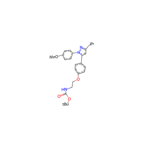 COc1ccc(-n2nc(C(C)C)cc2-c2ccc(OCCNC(=O)OC(C)(C)C)cc2)cc1